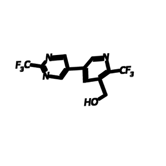 OCc1cc(-c2cnc(C(F)(F)F)nc2)cnc1C(F)(F)F